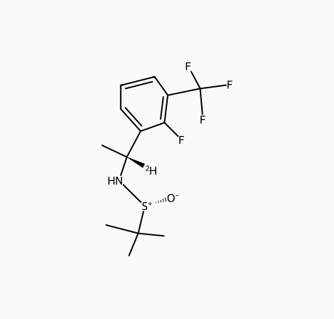 [2H][C@](C)(N[S@+]([O-])C(C)(C)C)c1cccc(C(F)(F)F)c1F